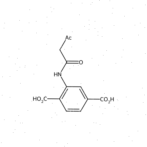 CC(=O)CC(=O)Nc1cc(C(=O)O)ccc1C(=O)O